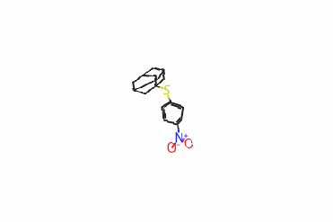 O=[N+]([O-])c1ccc(SC23CC4CC(CC(C4)C2)C3)cc1